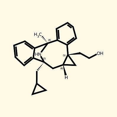 C[C@@]12N[C@@](CC3CC3)(C[C@H]3C[C@@]3(CCO)c3ccccc31)c1ccccc12